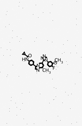 COc1cc(-n2cnnc2-c2cc(C)c3ncc(-c4ccc(NC(=O)C5CC5)cc4)n3c2)ccc1F